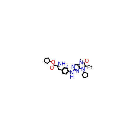 CC[C@@H]1C(=O)N(C)c2cnc(Nc3ccc(C[C@H](N)C(=O)OC4CCCC4)cc3)nc2N1C1CCCC1